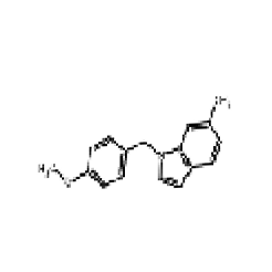 COc1ccc(Cn2ccc3ccc(C)cc32)cc1